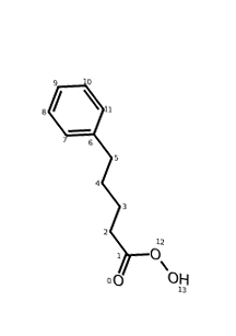 O=C(CCCCc1ccccc1)OO